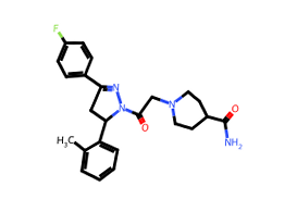 Cc1ccccc1C1CC(c2ccc(F)cc2)=NN1C(=O)CN1CCC(C(N)=O)CC1